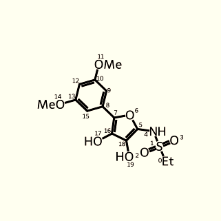 CCS(=O)(=O)Nc1oc(-c2cc(OC)cc(OC)c2)c(O)c1O